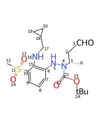 C[C@@H](CC=O)N(Nc1cccc(S(C)(=O)=O)c1NCC1CC1)C(=O)OC(C)(C)C